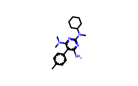 Cc1ccc(-c2c(N)nc(N(C)C3CCCCC3)nc2N(C)C)cc1